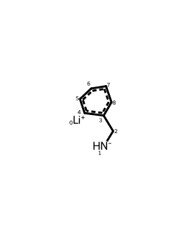 [Li+].[NH-]Cc1ccccc1